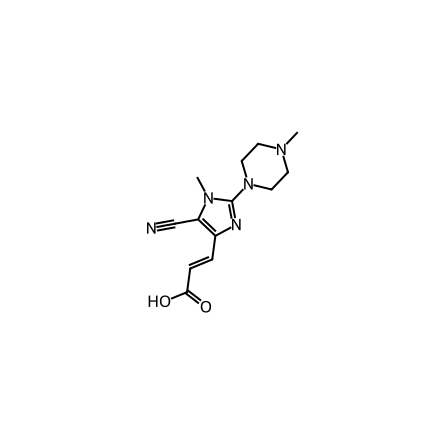 CN1CCN(c2nc(/C=C/C(=O)O)c(C#N)n2C)CC1